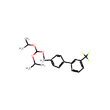 CC(C)OC(O[SiH2]c1ccc(-c2cccc(C(F)(F)F)c2)cc1)OC(C)C